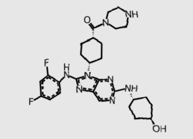 O=C([C@H]1CC[C@@H](n2c(Nc3ccc(F)cc3F)nc3cnc(N[C@H]4CC[C@H](O)CC4)nc32)CC1)N1CCNCC1